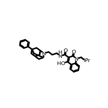 CC(C)Cn1c(=O)c(C(=O)NCCCN2C3CC4CC2CC(c2ccccc2)(C4)C3)c(O)c2ccccc21